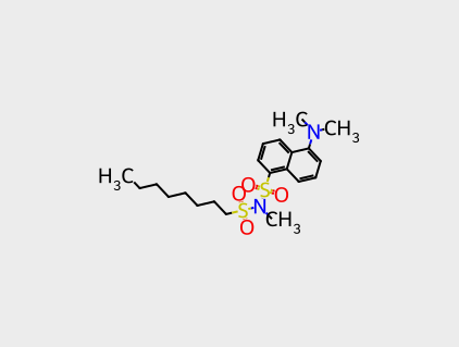 CCCCCCCCS(=O)(=O)N(C)S(=O)(=O)c1cccc2c(N(C)C)cccc12